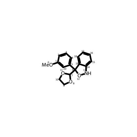 COc1cccc(C2(C3OCCO3)ONc3ccccc32)c1